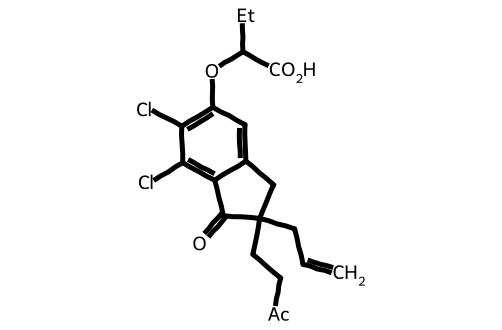 C=CCC1(CCC(C)=O)Cc2cc(OC(CC)C(=O)O)c(Cl)c(Cl)c2C1=O